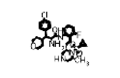 C[C@H]1CNC[C@H](CCc2c(F)cccc2NC(=O)[C@@H](N)C(c2ccc(Cl)cc2)C2CCOCC2)N1S(=O)(=O)C1CC1